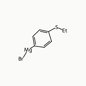 CCSc1cc[c]([Mg][Br])cc1